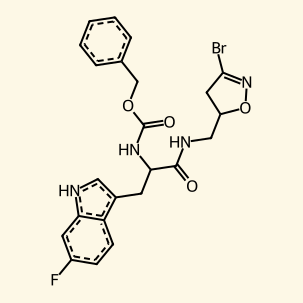 O=C(NC(Cc1c[nH]c2cc(F)ccc12)C(=O)NCC1CC(Br)=NO1)OCc1ccccc1